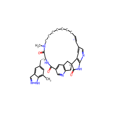 Cc1cc(C[C@H]2NC(=O)c3cnc4c(c3)C[C@@]3(C4)C(=O)Nc4ncc(cc43)/C=C/CCCCCCCN(C)C2=O)cc2cn[nH]c12